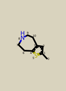 Cc1cc2c(s1)CCNCC2